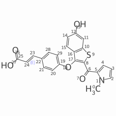 Cn1cccc1C(=O)c1sc2cc(O)ccc2c1Oc1ccc(/C=C/C(=O)O)cc1